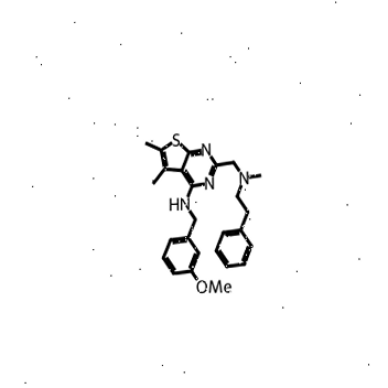 COc1cccc(CNc2nc(CN(C)CCc3ccccc3)nc3sc(C)c(C)c23)c1